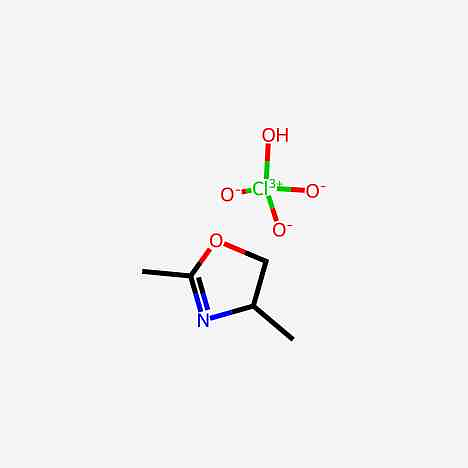 CC1=NC(C)CO1.[O-][Cl+3]([O-])([O-])O